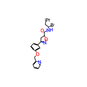 [B][C@H](CC(C)C)NC(=O)C1CC(c2cccc(OCc3ccccn3)c2)=NO1